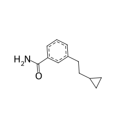 NC(=O)c1cccc(CCC2CC2)c1